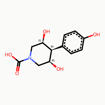 O=C(O)N1C[C@@H](O)[C@@H](c2ccc(O)cc2)[C@@H](O)C1